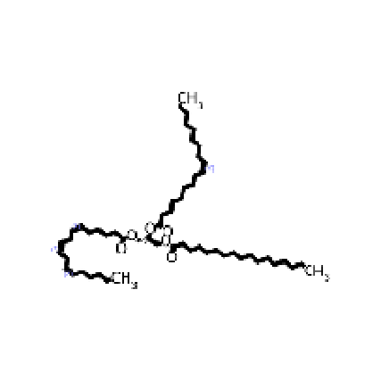 CCCCC/C=C\C/C=C\C/C=C\CCCCC(=O)OC[C@@H](COC(=O)CCCCCCCCCCCCCCCC)OC(=O)CCCCCCC/C=C\CCCCCCCC